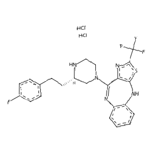 Cl.Cl.Fc1ccc(CC[C@H]2CN(C3=Nc4ccccc4Nc4sc(C(F)(F)F)nc43)CCN2)cc1